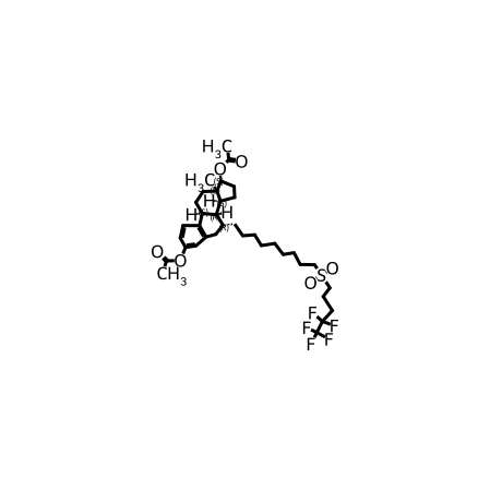 CC(=O)Oc1ccc2c(c1)C[C@@H](CCCCCCCCCS(=O)(=O)CCCC(F)(F)C(F)(F)F)[C@@H]1[C@@H]2CC[C@]2(C)[C@@H](OC(C)=O)CC[C@@H]12